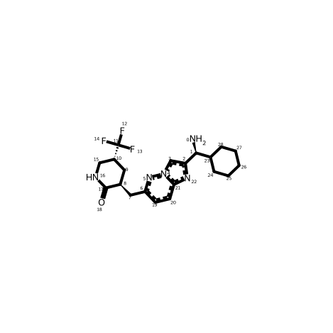 N[C@H](c1cn2nc(C[C@@H]3C[C@@H](C(F)(F)F)CNC3=O)ccc2n1)C1CCCCC1